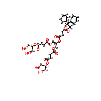 CC(C)(C)[Si](OC(=O)CCC(=O)OC(COC(=O)CCC(=O)OC(CO)CO)COC(=O)CCC(=O)OC(CO)CO)(C1=CC=CCC1)c1ccccc1